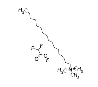 CCCCCCCCCCCCCCCC[N+](C)(C)C.O=C(OF)C(F)F